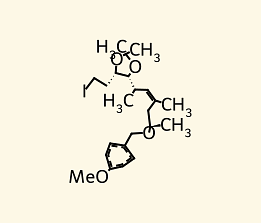 COc1ccc(CO[C@H](C)C/C(C)=C\C(C)[C@H]2OC(C)(C)O[C@H]2CCI)cc1